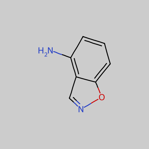 Nc1cccc2oncc12